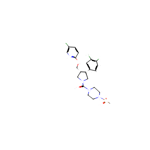 CS(=O)(=O)N1CCN(C(=O)N2C[C@@H](COc3ccc(Cl)cn3)[C@@H](c3ccc(Cl)c(Cl)c3)C2)CC1